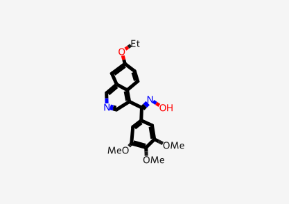 CCOc1ccc2c(C(=NO)c3cc(OC)c(OC)c(OC)c3)cncc2c1